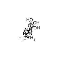 CN(C)c1ncnc2c1ncn2[C@H]1O[C@@H](CO)C(O)C1O